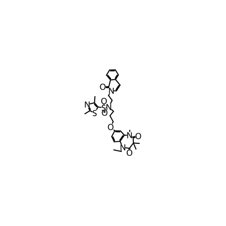 CCN1C(=O)C(C)(C)C(=O)N(C)c2cc(OCCCN(CCn3ccc4ccccc4c3=O)S(=O)(=O)c3sc(C)nc3C)ccc21